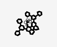 O=P1(O)Oc2c(-c3cc(-c4ccccc4)cc(-c4ccccc4)c3)cc3ccccc3c2-c2c(c(-c3cc(-c4ccccc4)cc(-c4ccccc4)c3)cc3ccccc23)O1